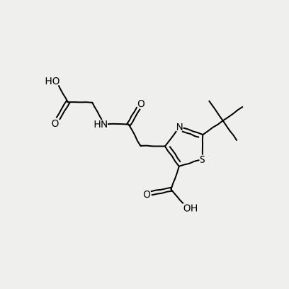 CC(C)(C)c1nc(CC(=O)NCC(=O)O)c(C(=O)O)s1